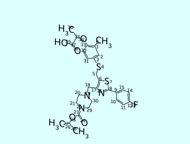 Cc1cc(SCc2sc(-c3ccc(F)cc3)nc2CN2CCN(C(=O)OC(C)C)CC2)ccc1OC(C)C(=O)O